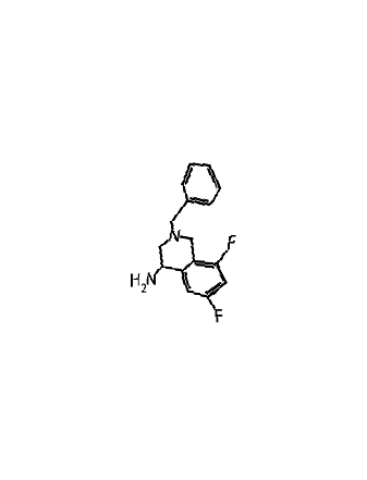 NC1CN(Cc2ccccc2)Cc2c(F)cc(F)cc21